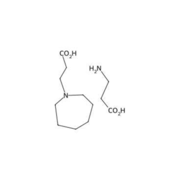 NCCC(=O)O.O=C(O)CCN1CCCCCC1